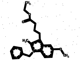 CCOC(=O)CCCc1c(C)n(Cc2ccccc2)c2ccc(OC)cc12